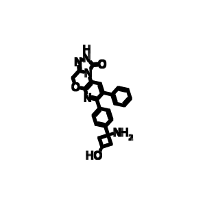 N[C@]1(c2ccc(-c3nc4c(cc3-c3ccccc3)-n3c(n[nH]c3=O)CO4)cc2)C[C@H](O)C1